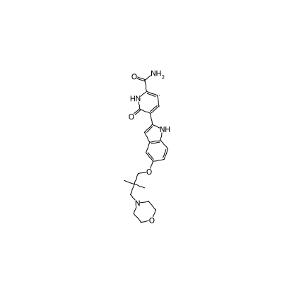 CC(C)(COc1ccc2[nH]c(-c3c[c]c(C(N)=O)[nH]c3=O)cc2c1)CN1CCOCC1